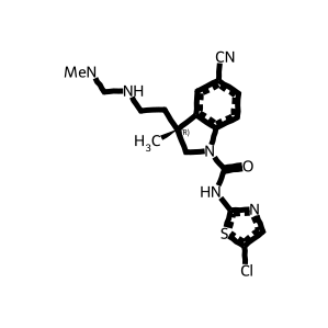 CNCNCC[C@@]1(C)CN(C(=O)Nc2ncc(Cl)s2)c2ccc(C#N)cc21